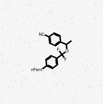 CCCCCc1ccc(C(F)(F)OC(C)c2ccc(C#N)cc2)cc1